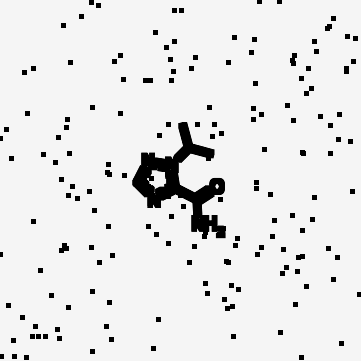 CC(C)n1ncnc1C(N)=O